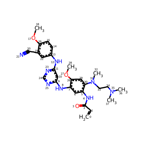 C=CC(=O)Nc1cc(Nc2cc(Nc3ccc(OC)c(C#N)c3)ncn2)c(OC)cc1N(C)CCN(C)C